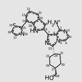 Nc1nccn2c1c(-c1cc3cccc(-c4nccs4)c3[nH]1)nc2[C@H]1CC[C@H](CO)CC1